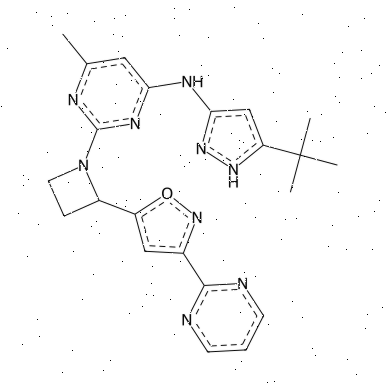 Cc1cc(Nc2cc(C(C)(C)C)[nH]n2)nc(N2CCC2c2cc(-c3ncccn3)no2)n1